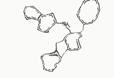 c1ccc(-c2ccc3c(c2Nc2ccc4ccccc4c2)Cc2ccccc2-3)cc1